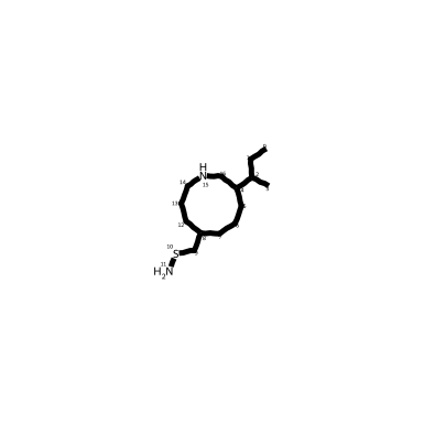 CCC(C)C1CCCC(CSN)CCCNC1